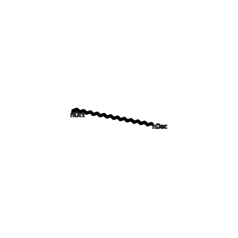 CCCCCCCC/C=C\CCCCCCCCCCCCCCCCCCCCCCCCCCCCCCCC